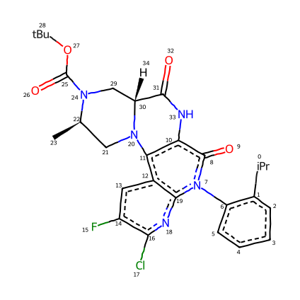 CC(C)c1ccccc1-n1c(=O)c2c(c3cc(F)c(Cl)nc31)N1C[C@@H](C)N(C(=O)OC(C)(C)C)C[C@@H]1C(=O)N2